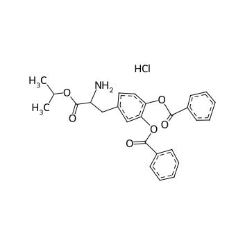 CC(C)OC(=O)C(N)Cc1ccc(OC(=O)c2ccccc2)c(OC(=O)c2ccccc2)c1.Cl